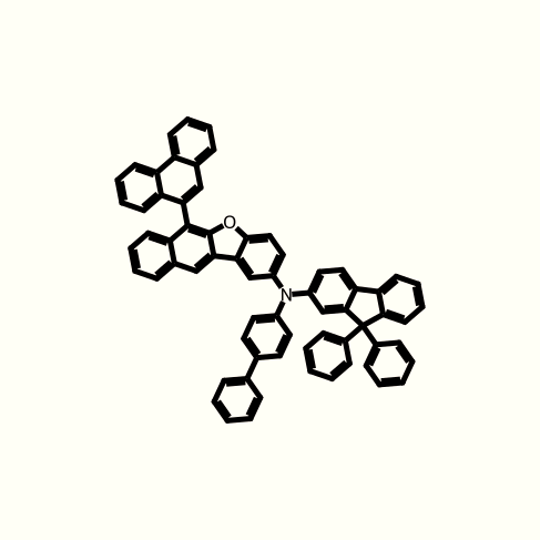 c1ccc(-c2ccc(N(c3ccc4c(c3)C(c3ccccc3)(c3ccccc3)c3ccccc3-4)c3ccc4oc5c(-c6cc7ccccc7c7ccccc67)c6ccccc6cc5c4c3)cc2)cc1